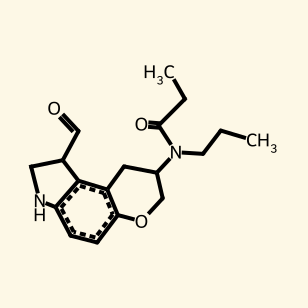 CCCN(C(=O)CC)C1COc2ccc3c(c2C1)C(C=O)CN3